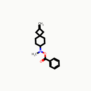 C=C1CC2(CCC(N(C)OC(=O)c3ccccc3)CC2)C1